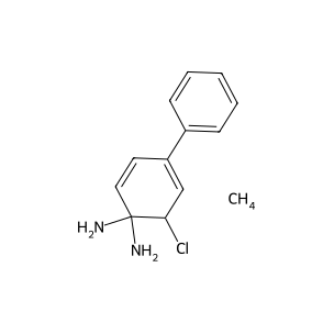 C.NC1(N)C=CC(c2ccccc2)=CC1Cl